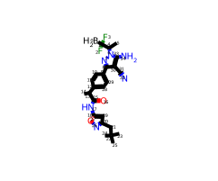 BC(F)(F)C(C)n1nc(-c2ccc(C(C)C(=O)Nc3cc(CC(C)(C)C)no3)cc2)c(C#N)c1N